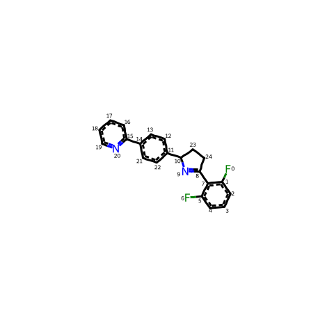 Fc1cccc(F)c1C1=NC(c2ccc(-c3ccccn3)cc2)CC1